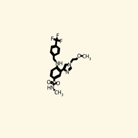 CNS(=O)(=O)c1ccc(NCc2ccc(C(F)(F)F)cc2)c(-c2cn(CCOC)cn2)c1